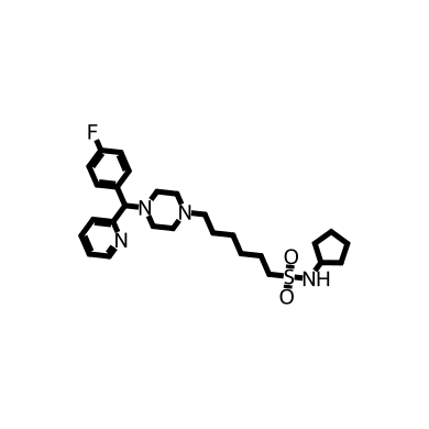 O=S(=O)(CCCCCCN1CCN(C(c2ccc(F)cc2)c2ccccn2)CC1)NC1CCCC1